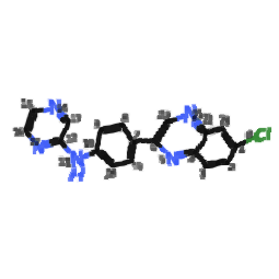 Clc1ccc2nc(-c3ccc(Nc4cnccn4)cc3)cnc2c1